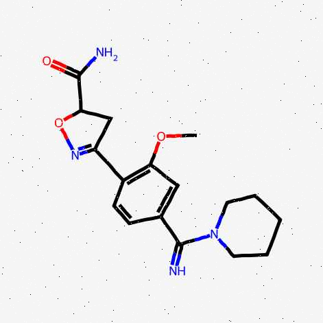 COc1cc(C(=N)N2CCCCC2)ccc1C1=NOC(C(N)=O)C1